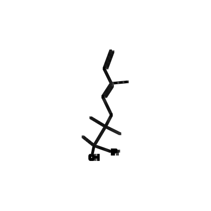 C=C/C(C)=C/CC(C)(C)C(C)(O)C(C)C